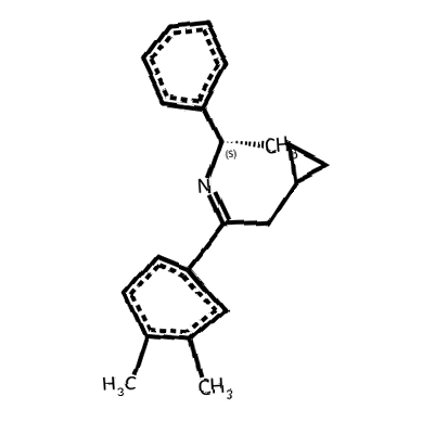 Cc1ccc(C(CC2CC2)=N[C@@H](C)c2ccccc2)cc1C